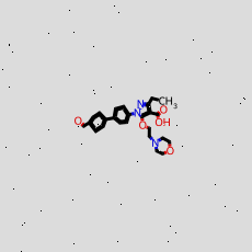 CCc1nn(-c2ccc(-c3ccc(C=O)cc3)cc2)c(OCCN2CCOCC2)c1C(=O)O